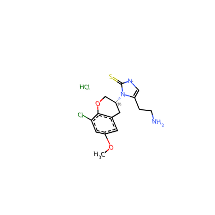 COc1cc(Cl)c2c(c1)C[C@@H](N1C(=S)[N]C=C1CCN)CO2.Cl